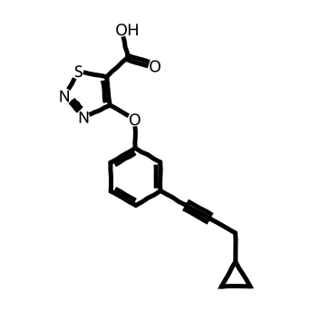 O=C(O)c1snnc1Oc1cccc(C#CCC2CC2)c1